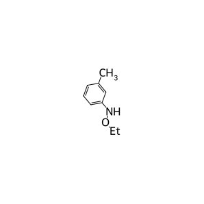 CCONc1cccc(C)c1